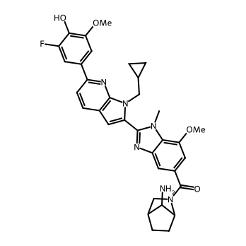 COc1cc(-c2ccc3cc(-c4nc5cc(C(=O)N6CC7CCC6C7N)cc(OC)c5n4C)n(CC4CC4)c3n2)cc(F)c1O